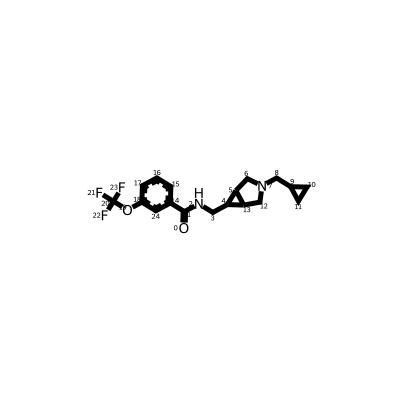 O=C(NCC1C2CN(CC3CC3)CC12)c1cccc(OC(F)(F)F)c1